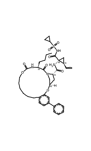 C=C[C@@H]1C[C@]1([SiH2]C(=O)[C@@H]1C[C@@H]2CN1C(=O)[C@H](CCCC)NC(=O)OCCCCCCc1ccc(-c3ccccc3)cc1O2)C(=O)NS(=O)(=O)C1CC1